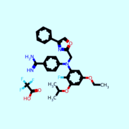 CCOc1cc(OC(C)C)c(F)c(N(Cc2nc(-c3ccccc3)co2)c2ccc(C(=N)N)cc2)c1.O=C(O)C(F)(F)F